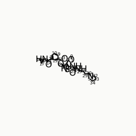 COC(=O)c1c(OCc2cccc(C(=O)NC3CC3)c2)nsc1NC(=O)NCCCCN1CCCC1